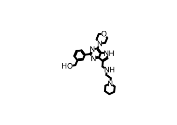 OCc1cccc(-c2nc(N3CCOCC3)c3[nH]cc(CNCCN4CCCCC4)c3n2)c1